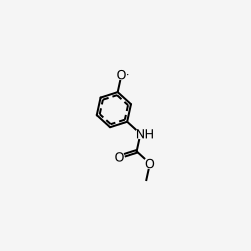 COC(=O)Nc1cccc([O])c1